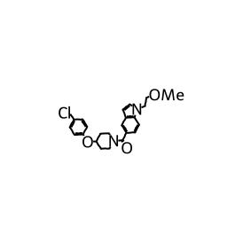 COCCn1ccc2cc(C(=O)N3CCC(Oc4ccc(Cl)cc4)CC3)ccc21